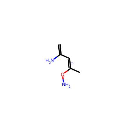 C=C(N)/C=C(/C)ON